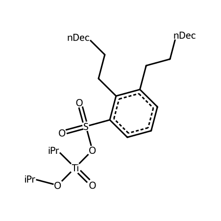 CCCCCCCCCCCCc1cccc(S(=O)(=O)[O][Ti](=[O])([O]C(C)C)[CH](C)C)c1CCCCCCCCCCCC